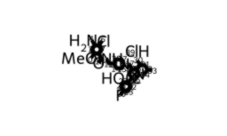 COc1cc(N)c(Cl)cc1C(=O)NCC1CCN(CC(COc2ccc(F)cc2)C2C(C)CC(C)CN2C(=O)O)CC1.Cl